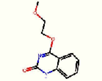 COCCOc1nc(=O)[nH]c2ccccc12